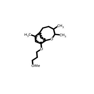 COCCCOc1cc(C)c2cc1OC(C)C(C)CC2